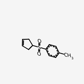 Cc1ccc(S(=O)(=O)C2CC=CC2)cc1